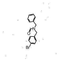 O=[C]N(Cc1ccccc1)Cc1ccc(Br)cc1